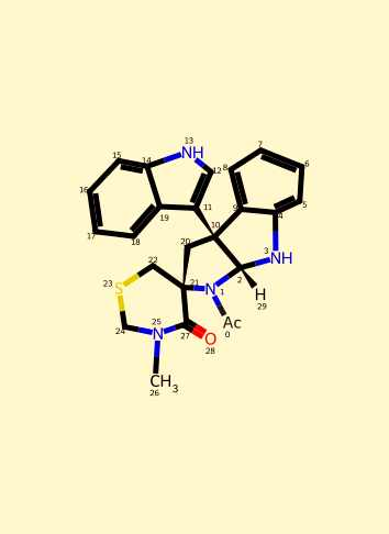 CC(=O)N1[C@H]2Nc3ccccc3[C@@]2(c2c[nH]c3ccccc23)C[C@@]12CSCN(C)C2=O